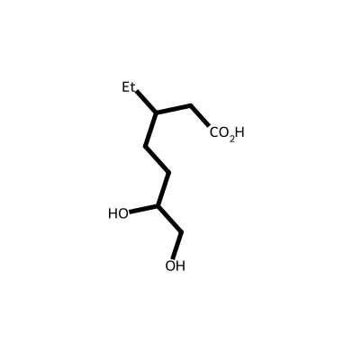 CCC(CCC(O)CO)CC(=O)O